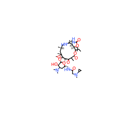 CC[C@H]1OC(=O)C(C)C(=O)[C@H](C)[C@@H](O[C@@H]2O[C@H](CNC(=O)CN(C)C3CC3)CC(N(C)C)C2O)[C@](C)(OC)C[C@@H](C)CN[C@H](C)[C@H]2NC(=O)O[C@@]21CC